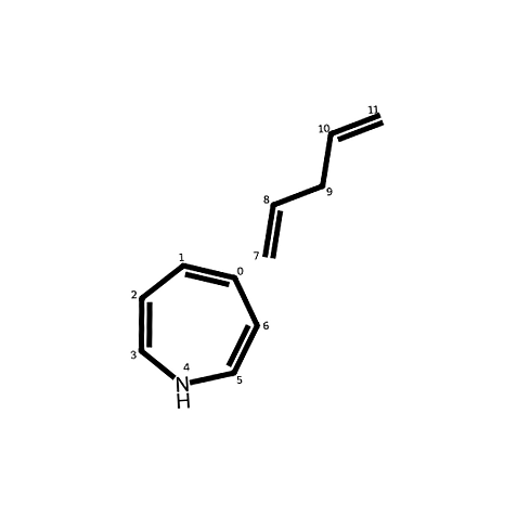 C1=CC=CNC=C1.C=CCC=C